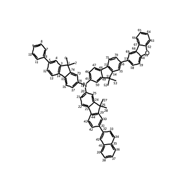 CC1(C)c2cc(-c3ccccc3)ccc2-c2ccc(N(c3ccc4c(c3)C(C)(C)c3cc(-c5ccc6ccccc6c5)ccc3-4)c3ccc4c(c3)C(C)(C)c3cc(-c5ccc6oc7ccccc7c6c5)ccc3-4)cc21